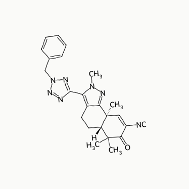 [C-]#[N+]C1=C[C@]2(C)c3nn(C)c(-c4nnn(Cc5ccccc5)n4)c3CC[C@H]2C(C)(C)C1=O